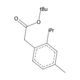 Cc1ccc(CC(=O)OC(C)(C)C)c(C(C)C)c1